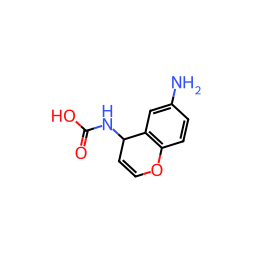 Nc1ccc2c(c1)C(NC(=O)O)C=CO2